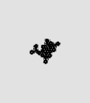 c1ccc(-c2nc(-c3ccccc3)nc(-c3cccc(-c4cc(-c5cccc(-c6nc(-c7ccccc7)nc(-c7ccccc7)n6)c5)cc(-c5ccccc5-c5ccccc5-c5cc(-c6cccc(-c7nc(-c8ccccc8)nc(-c8ccccc8)n7)c6)cc(-c6cccc(-c7nc(-c8ccccc8)nc(-c8ccccc8)n7)c6)c5)c4)c3)n2)cc1